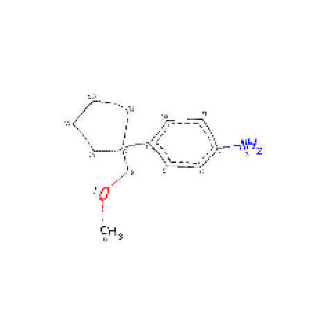 COCC1(c2ccc(N)cc2)CCCC1